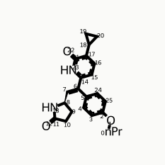 CCCOc1ccc(/C(=C\[C@H]2CCC(=O)N2)c2ccc(C3CC3)c(=O)[nH]2)cc1